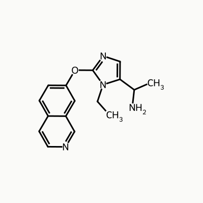 CCn1c(C(C)N)cnc1Oc1ccc2ccncc2c1